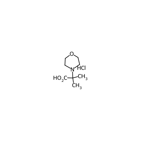 CC(C)(C(=O)O)N1CCOCC1.Cl